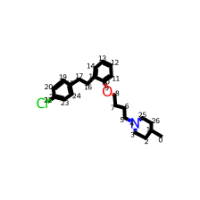 CC1CCN(CCCCOc2ccccc2CCc2ccc(Cl)cc2)CC1